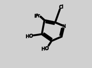 CC(C)c1c(Cl)ncc(O)c1O